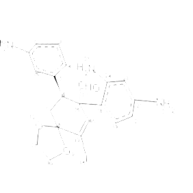 Nc1cccc([C@@H]2CC3(OCCO3)C(I)=C[C@]2(C=O)c2ccc(N)cc2N)c1